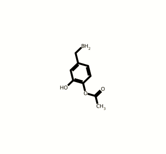 BCc1ccc(OC(C)=O)c(O)c1